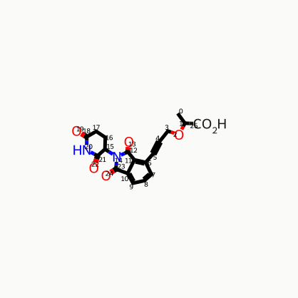 CC(OCC#Cc1cccc2c1C(=O)N(C1CCC(=O)NC1=O)C2=O)C(=O)O